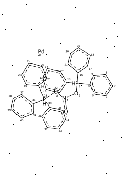 O=[N+](O[PH](c1ccccc1)(c1ccccc1)c1ccccc1)O[PH](c1ccccc1)(c1ccccc1)c1ccccc1.[Pd]